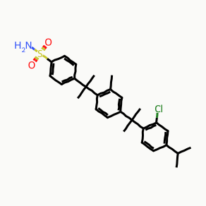 Cc1cc(C(C)(C)c2ccc(C(C)C)cc2Cl)ccc1C(C)(C)c1ccc(S(N)(=O)=O)cc1